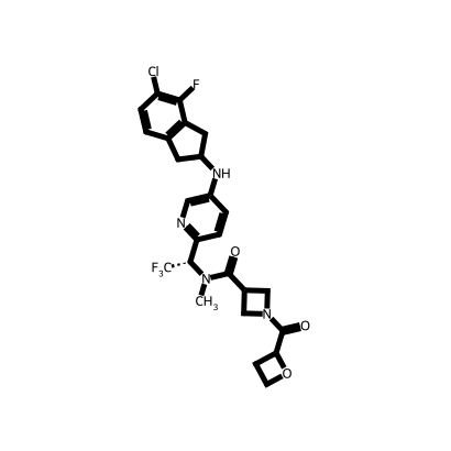 CN(C(=O)C1CN(C(=O)C2CCO2)C1)[C@@H](c1ccc(NC2Cc3ccc(Cl)c(F)c3C2)cn1)C(F)(F)F